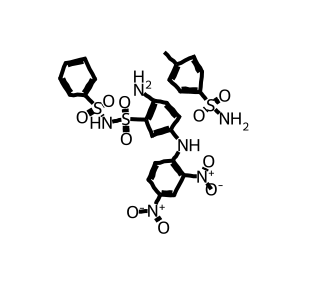 Cc1ccc(S(N)(=O)=O)cc1.Nc1ccc(Nc2ccc([N+](=O)[O-])cc2[N+](=O)[O-])cc1S(=O)(=O)NS(=O)(=O)c1ccccc1